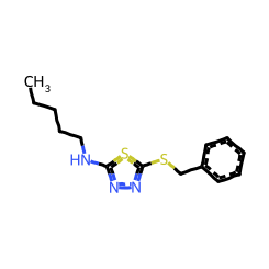 CCCCCNc1nnc(SCc2ccccc2)s1